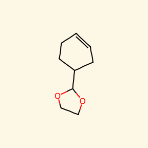 C1=CCC(C2OCCO2)CC1